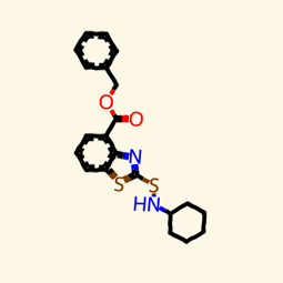 O=C(OCc1ccccc1)c1cccc2sc(SNC3CCCCC3)nc12